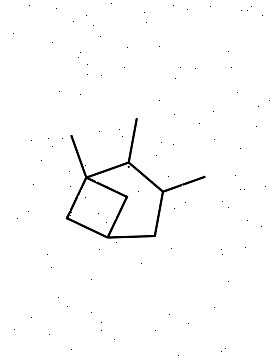 C[C]1C(C)CC2CC1(C)C2